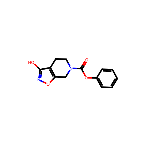 O=C(Oc1ccccc1)N1CCc2c(O)noc2C1